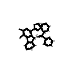 Cc1cc(C2=CC=CC2)c2c(c1C)-c1ccccc1[CH]2[Zr]=[C](c1ccccc1)c1ccccc1